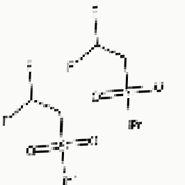 CC(C)S(=O)(=O)CC(F)F.CC(C)S(=O)(=O)CC(F)F